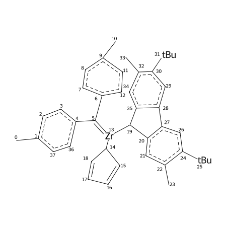 Cc1ccc([C](c2ccc(C)cc2)=[Zr]([CH]2C=CC=C2)[CH]2c3cc(C)c(C(C)(C)C)cc3-c3cc(C(C)(C)C)c(C)cc32)cc1